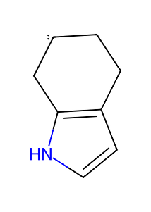 [C]1CCc2cc[nH]c2C1